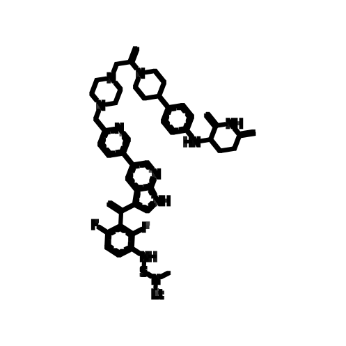 C=C1CCC(Nc2ccc(C3CCN(C(=C)CN4CCN(Cc5ccc(-c6cnc7[nH]cc(C(=C)c8c(F)ccc(NSN(C)CC)c8F)c7c6)cn5)CC4)CC3)cc2)C(=C)N1